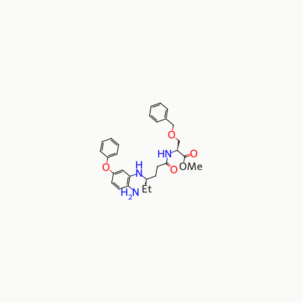 CC[C@H](CCC(=O)N[C@@H](COCc1ccccc1)C(=O)OC)Nc1cc(Oc2ccccc2)ccc1N